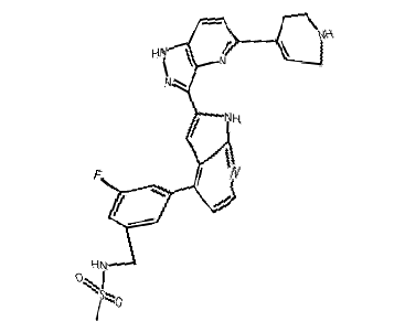 CS(=O)(=O)NCc1cc(F)cc(-c2ccnc3[nH]c(-c4n[nH]c5ccc(C6=CCNCC6)nc45)cc23)c1